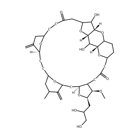 C=C1C(C)CC2CC[C@@H]3OC(CCC(=O)CC4O[C@H]5C(O)[C@H]6OC(CCC6O[C@H]5C4O)CC(=O)CC4[C@H](CC1O2)O[C@H](CC(O)CO)[C@@H]4OC)CC3=C